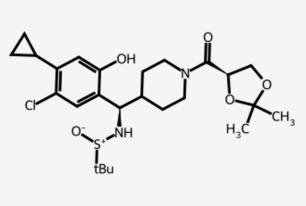 CC1(C)OC[C@H](C(=O)N2CCC([C@@H](N[S+]([O-])C(C)(C)C)c3cc(Cl)c(C4CC4)cc3O)CC2)O1